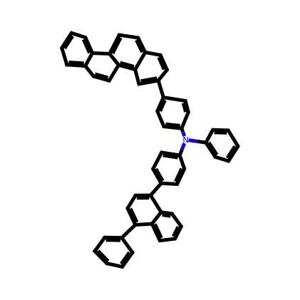 c1ccc(-c2ccc(-c3ccc(N(c4ccccc4)c4ccc(-c5ccc6ccc7c8ccccc8ccc7c6c5)cc4)cc3)c3ccccc23)cc1